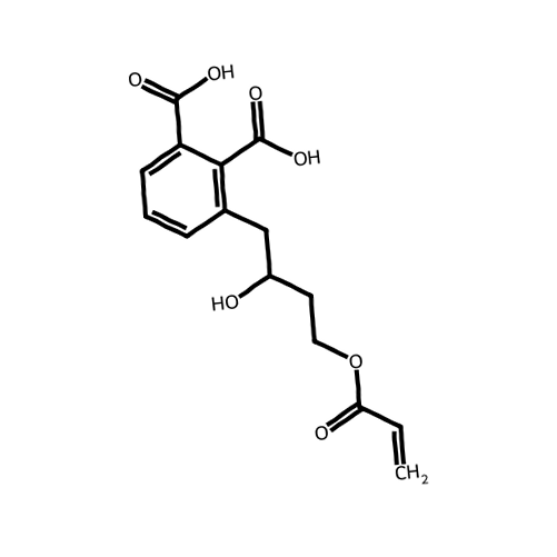 C=CC(=O)OCCC(O)Cc1cccc(C(=O)O)c1C(=O)O